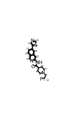 C[C@H](F)CN1CCC(C(=O)Nc2cc3cc(-c4cncs4)ccc3cn2)CC1